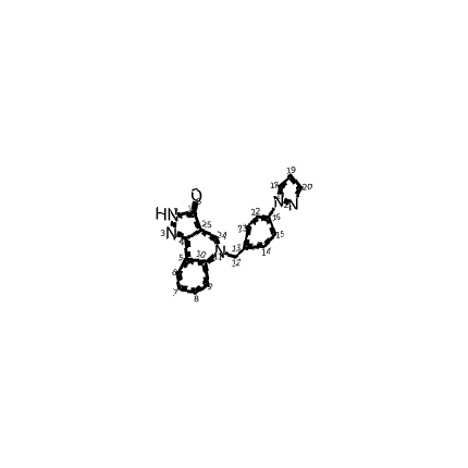 O=c1[nH]nc2c3ccccc3n(Cc3ccc(-n4cccn4)cc3)cc1-2